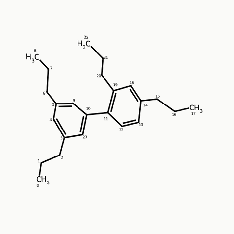 CCCc1[c]c(CCC)cc(-c2ccc(CCC)cc2CCC)c1